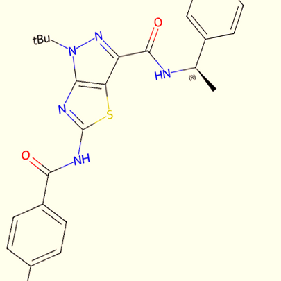 Cc1ccc(C(=O)Nc2nc3c(s2)c(C(=O)N[C@H](C)c2ccncc2)nn3C(C)(C)C)cc1